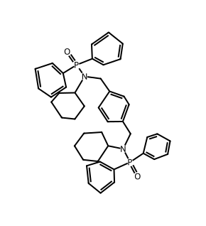 O=P(c1ccccc1)(c1ccccc1)N(Cc1ccc(CN(C2CCCCC2)P(=O)(c2ccccc2)c2ccccc2)cc1)C1CCCCC1